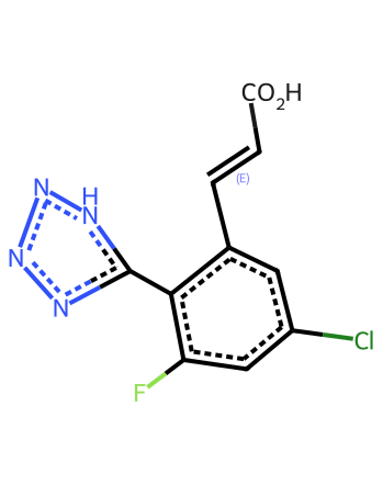 O=C(O)/C=C/c1cc(Cl)cc(F)c1-c1nnn[nH]1